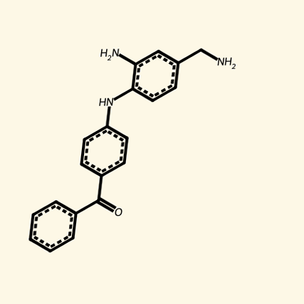 NCc1ccc(Nc2ccc(C(=O)c3ccccc3)cc2)c(N)c1